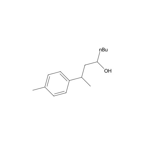 CCCCC(O)CC(C)c1ccc(C)cc1